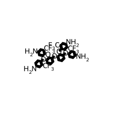 Nc1ccc(Oc2cccc(Oc3cccc(Oc4ccc(N)cc4C(F)(F)F)c3Oc3ccc(N)cc3C(F)(F)F)c2Oc2ccc(N)cc2C(F)(F)F)c(C(F)(F)F)c1